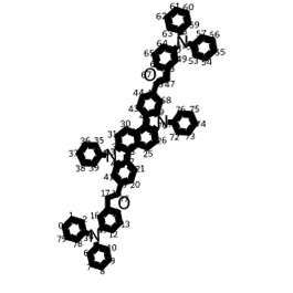 c1ccc(N(c2ccccc2)c2ccc3c(c2)CC(c2ccc4c5c6ccc7c(c6ccc5n(-c5ccccc5)c4c2)c2ccc(-c4cc5cc(N(c6ccccc6)c6ccccc6)ccc5o4)cc2n7-c2ccccc2)O3)cc1